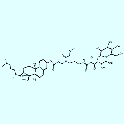 COCC(=O)N(CCCNC(=O)C(O)C(O)C(O[C@@H]1OC(CO)[C@H](O)[C@H](O)C1O)C(O)CO)CCC(=O)OC1CC[C@@]2(C)C(=CC[C@H]3[C@@H]4CC[C@H]([C@H](C)CCCC(C)C)[C@@]4(C)CC[C@@H]32)C1